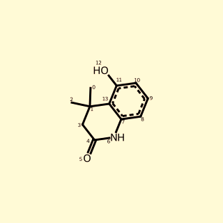 CC1(C)CC(=O)Nc2cccc(O)c21